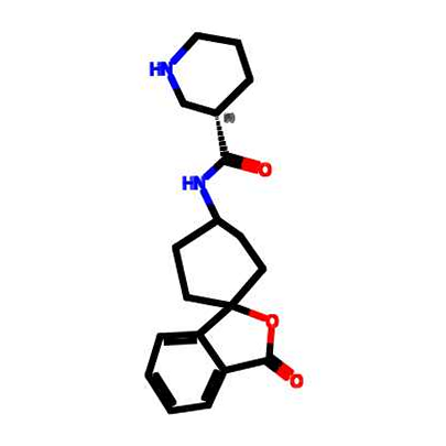 O=C1OC2(CCC(NC(=O)[C@H]3CCCNC3)CC2)c2ccccc21